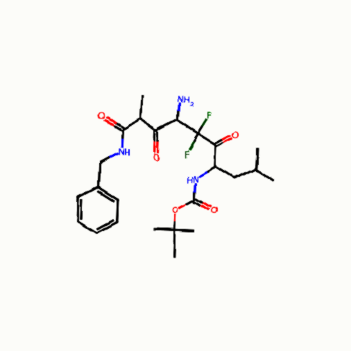 CC(C)CC(NC(=O)OC(C)(C)C)C(=O)C(F)(F)C(N)C(=O)C(C)C(=O)NCc1ccccc1